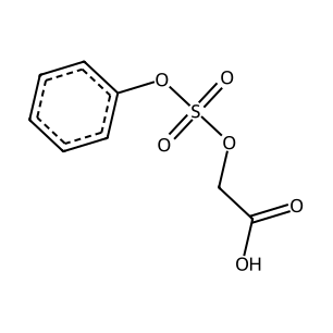 O=C(O)COS(=O)(=O)Oc1ccccc1